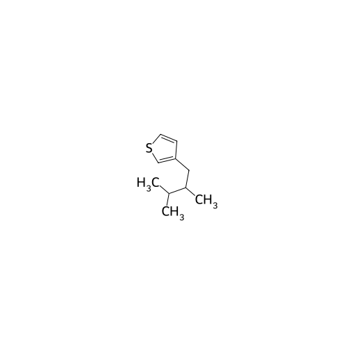 CC(C)C(C)Cc1ccsc1